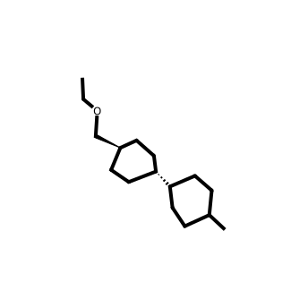 CCOC[C@H]1CC[C@H](C2CCC(C)CC2)CC1